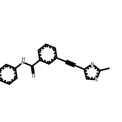 Cc1nc(C#Cc2cccc(C(=O)Nc3ccccc3)c2)cs1